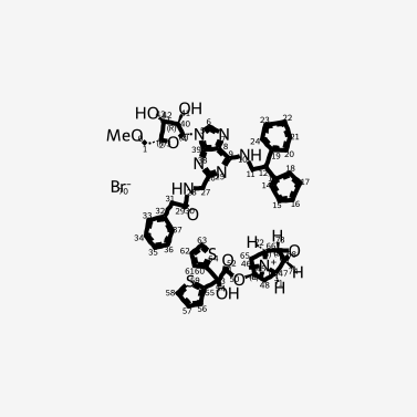 COC[C@H]1O[C@@H](n2cnc3c(NCC(c4ccccc4)c4ccccc4)nc(CNC(=O)Cc4ccccc4)nc32)[C@H](O)[C@@H]1O.C[N+]1(C)[C@@H]2C[C@@H](OC(=O)C(O)(c3cccs3)c3cccs3)C[C@H]1[C@@H]1O[C@@H]12.[Br-]